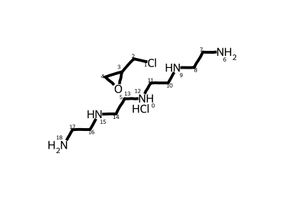 Cl.ClCC1CO1.NCCNCCNCCNCCN